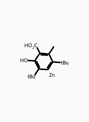 Cc1c(C(C)(C)C)cc(C(C)(C)C)c(O)c1C(=O)O.[Zn]